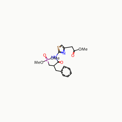 COC(=O)Cc1csc(NC(=O)C(Cc2ccccc2)CP(=O)(OC)OC)n1